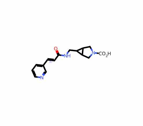 O=C(/C=C/c1cccnc1)NCC1C2CN(C(=O)O)CC12